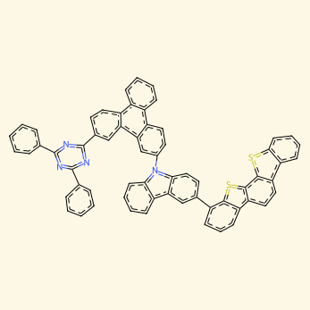 c1ccc(-c2nc(-c3ccccc3)nc(-c3ccc4c5ccccc5c5ccc(-n6c7ccccc7c7cc(-c8cccc9c8sc8c9ccc9c%10ccccc%10sc98)ccc76)cc5c4c3)n2)cc1